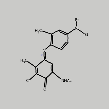 CCN(CC)c1ccc(/N=C2\C=C(NC(C)=O)C(=O)C(Cl)=C2C)c(C)c1